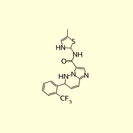 CC1=CNC(NC(=O)c2cnc3n2NC(c2ccccc2C(F)(F)F)C=C3)S1